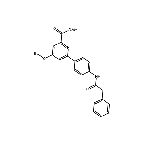 CCOc1cc(C(=O)OC)nc(-c2ccc(NC(=O)Cc3ccccc3)cc2)c1